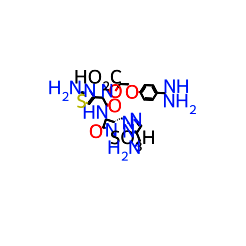 N=C(N)c1ccc(OCC(O/N=C(\C(=O)NC2C(=O)N(S(=O)(=O)O)[C@H]2Cn2ncc(CN)n2)c2csc(N)n2)C(=O)O)cc1